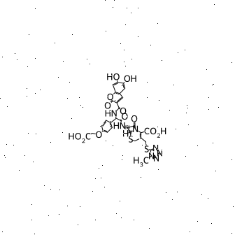 Cn1nnnc1SCC1=C(C(=O)O)N2C(=O)[C@@H](NC(=O)C(NC(=O)c3cc4cc(O)c(O)cc4oc3=O)c3ccc(OCC(=O)O)cc3)[C@H]2SC1